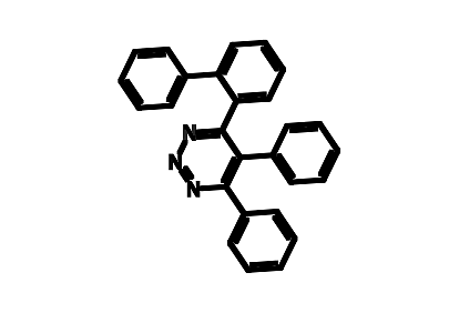 c1ccc(-c2ccccc2-c2nnnc(-c3ccccc3)c2-c2ccccc2)cc1